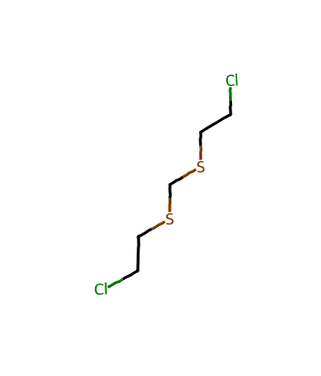 ClCCSCSCCCl